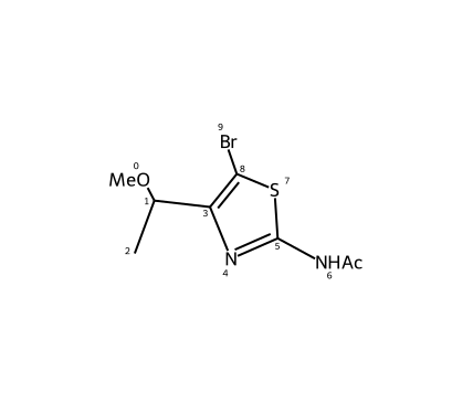 COC(C)c1nc(NC(C)=O)sc1Br